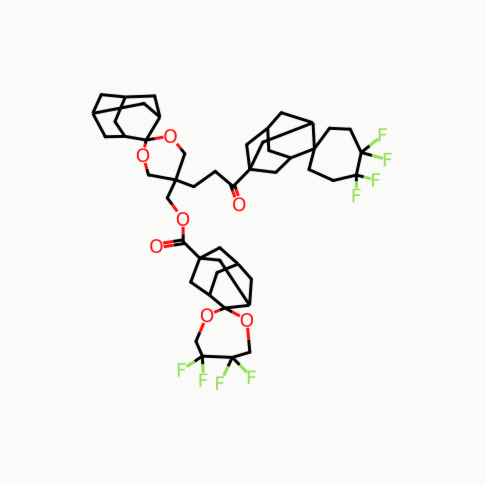 O=C(CCC1(COC(=O)C23CC4CC(C2)C2(OCC(F)(F)C(F)(F)CO2)C(C4)C3)COC2(OC1)C1CC3CC(C1)CC2C3)C12CC3CC(C1)C1(CCC(F)(F)C(F)(F)CC1)C(C3)C2